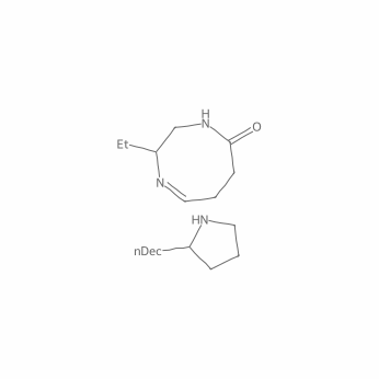 CCC1CNC(=O)CCC=N1.CCCCCCCCCCC1CCCN1